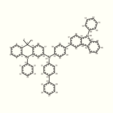 CC1(C)c2ccccc2N(c2ccccc2)c2cc(N(c3ccc(-c4ccccc4)cc3)c3ccc(-c4ccc5c(c4)c4ccccc4n5-c4ccccc4)cc3)ccc21